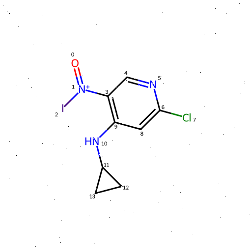 O=[N+](I)c1cnc(Cl)cc1NC1CC1